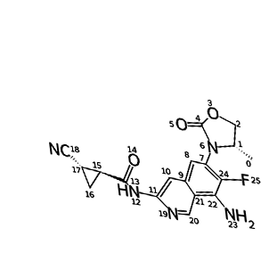 C[C@H]1COC(=O)N1c1cc2cc(NC(=O)[C@H]3C[C@@H]3C#N)ncc2c(N)c1F